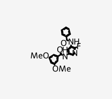 COc1cc(OC)cc(C(=O)Nc2cnc(F)c(NC(=O)c3ccccc3)c2)c1